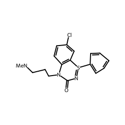 CNCCCN1C(=O)N=S(c2ccccc2)c2cc(Cl)ccc21